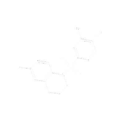 Cc1ccc2c(c1)CCCN2S(=O)(=O)c1ccc(Cl)c([N+](=O)[O-])c1